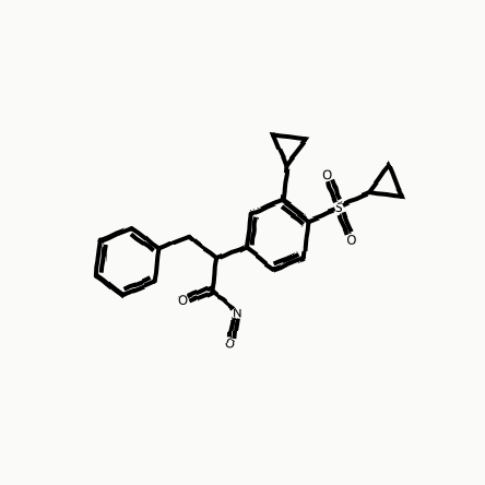 O=NC(=O)C(Cc1ccccc1)c1ccc(S(=O)(=O)C2CC2)c(C2CC2)c1